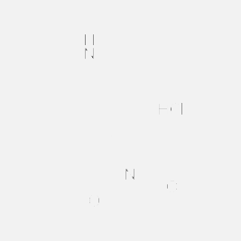 Cl.O=[N+]([O-])C1CCNCC1